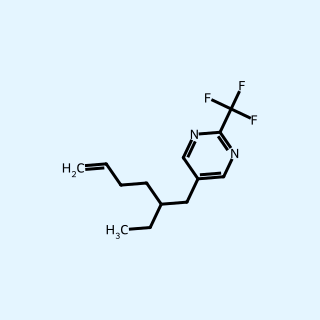 C=CCCC(CC)Cc1cnc(C(F)(F)F)nc1